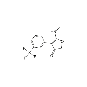 CNC1=C(c2cccc(C(F)(F)F)c2)C(=O)CO1